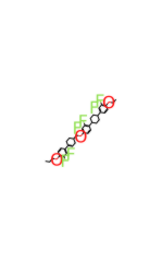 CCCOc1ccc(C2=CCC(COc3ccc(C4CCC(c5ccc(OCC)c(F)c5F)CC4)c(F)c3F)CC2)c(F)c1F